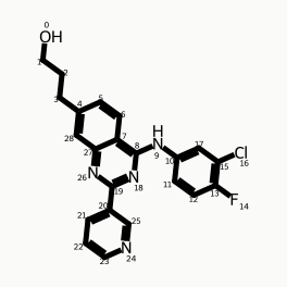 OCCCc1ccc2c(Nc3ccc(F)c(Cl)c3)nc(-c3cccnc3)nc2c1